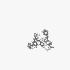 CC(N)C(=O)NC(C(=O)N1CCCC1/C=C/[C@](C)(CO)Cc1cccc(-c2ncco2)c1)C(C)OCc1ccccc1